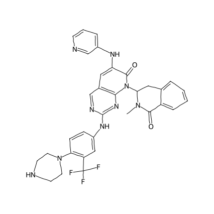 CN1C(=O)c2ccccc2CC1n1c(=O)c(Nc2cccnc2)cc2cnc(Nc3ccc(N4CCNCC4)c(C(F)(F)F)c3)nc21